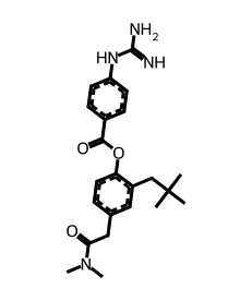 CN(C)C(=O)Cc1ccc(OC(=O)c2ccc(NC(=N)N)cc2)c(CC(C)(C)C)c1